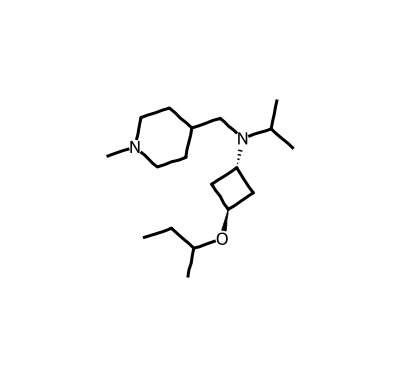 CCC(C)O[C@H]1C[C@H](N(CC2CCN(C)CC2)C(C)C)C1